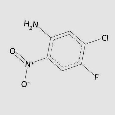 Nc1cc(Cl)c(F)cc1[N+](=O)[O-]